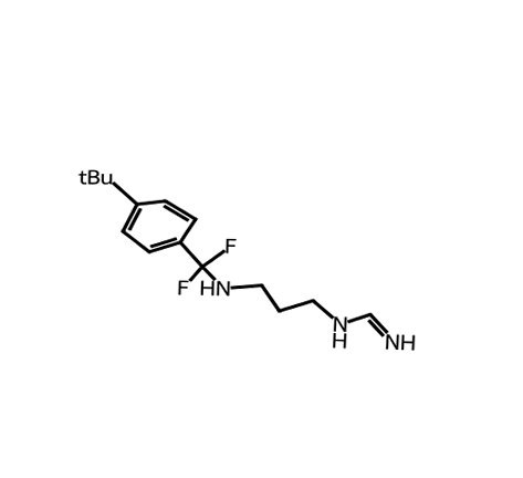 CC(C)(C)c1ccc(C(F)(F)NCCCNC=N)cc1